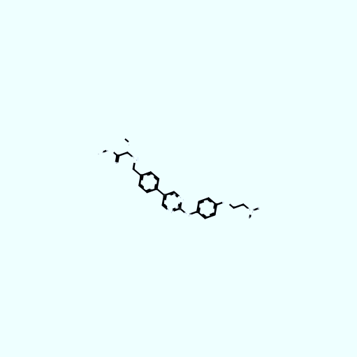 CCN(CC)CCOc1ccc(Nc2ncc(-c3ccc(CN[C@@H](CO)C(=O)OC(C)(C)C)cc3)cn2)cc1